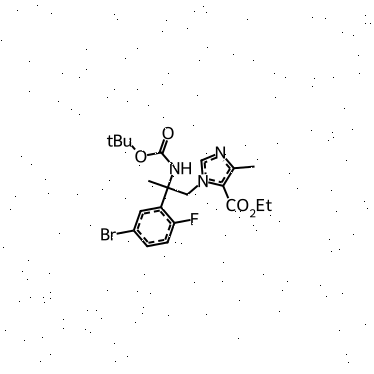 CCOC(=O)c1c(C)ncn1CC(C)(NC(=O)OC(C)(C)C)c1cc(Br)ccc1F